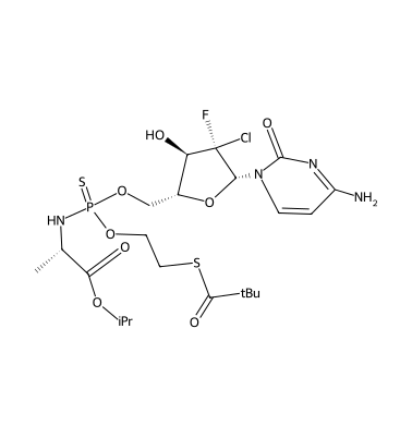 CC(C)OC(=O)[C@H](C)NP(=S)(OCCSC(=O)C(C)(C)C)OC[C@H]1O[C@@H](n2ccc(N)nc2=O)[C@](F)(Cl)[C@@H]1O